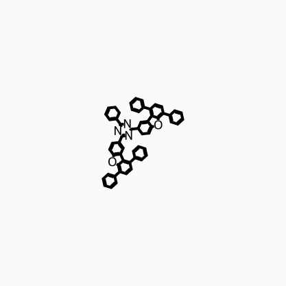 C1=CCCC(c2nc(-c3ccc4oc5c(-c6ccccc6)ccc(-c6ccccc6)c5c4c3)nc(C3C=c4c(oc5c(-c6ccccc6)ccc(-c6ccccc6)c45)=CC3)n2)=C1